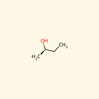 [CH2][C@@H](O)CC